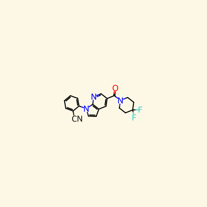 N#Cc1ccccc1-n1ccc2cc(C(=O)N3CCC(F)(F)CC3)cnc21